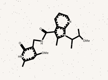 COc1cc(C)[nH]c(=O)c1CNC(=O)c1c(C)n(C(C)C(C)OC)c2ncccc12